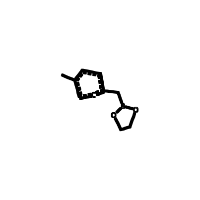 Cc1ccc(CB2OCCO2)cc1